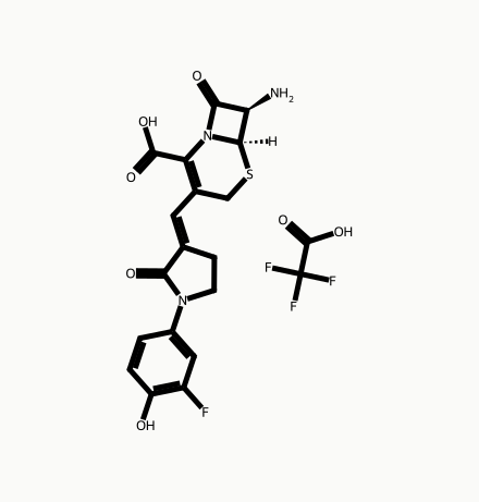 N[C@@H]1C(=O)N2C(C(=O)O)=C(/C=C3\CCN(c4ccc(O)c(F)c4)C3=O)CS[C@H]12.O=C(O)C(F)(F)F